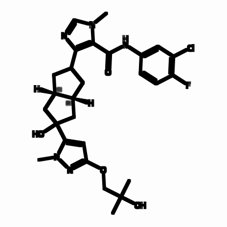 Cn1cnc(C2C[C@@H]3CC(O)(c4cc(OCC(C)(C)O)nn4C)C[C@@H]3C2)c1C(=O)Nc1ccc(F)c(Cl)c1